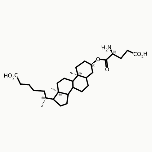 C[C@H](CCCCC(=O)O)C1CCC2C3CCC4C[C@H](OC(=O)[C@@H](N)CCC(=O)O)CC[C@]4(C)C3CC[C@@]21C